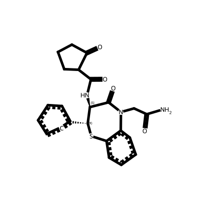 NC(=O)CN1C(=O)[C@H](NC(=O)C2CCCC2=O)[C@@H](c2ccccc2)Sc2ccccc21